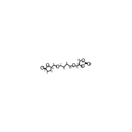 O=C1CCC(COCCCCOCC2COC(=O)O2)O1